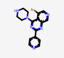 Brc1cncc2nc(-c3ccncc3)nc(N3CCNCC3)c12